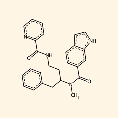 CN(C(=O)c1ccc2cc[nH]c2c1)C(CCNC(=O)c1ccccn1)Cc1ccccc1